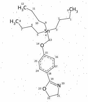 CCC[CH2][Sn]([CH2]CCC)([CH2]CCC)[CH2]Oc1ccc(C2=NCCO2)cc1